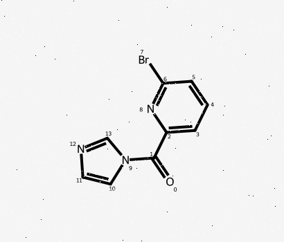 O=C(c1cccc(Br)n1)n1ccnc1